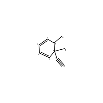 C#CC1(C)C=CC=CC1[CH2]